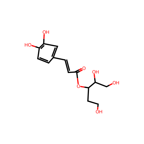 O=C(/C=C/c1ccc(O)c(O)c1)OC(CCO)C(O)CO